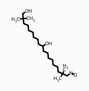 CC(C)(CO)CCCCCCCC(O)CCCCCCCC(C)(C)CN=O